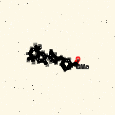 COC(=O)c1cccc(C=C2CCC3(c4cc5c(cc4C)C(C)(C)CCC5(C)C)CC23)c1